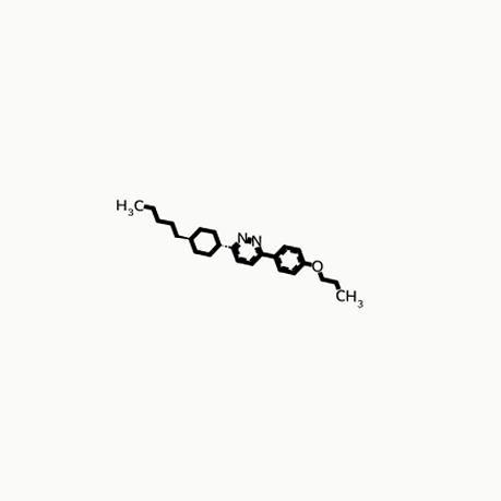 CCCCC[C@H]1CC[C@H](c2ccc(-c3ccc(OCCC)cc3)nn2)CC1